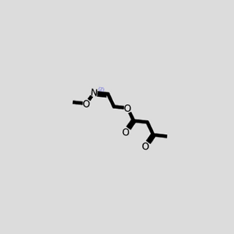 CO/N=C\COC(=O)CC(C)=O